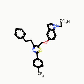 O=C(O)Cn1ccc2cc(OCc3sc(-c4ccc(C(F)(F)F)cc4)nc3CCc3ccccc3)ccc21